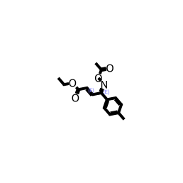 CCOC(=O)/C=C/C(=N\OC(C)=O)c1ccc(C)cc1